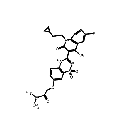 CN(C)C(=O)COc1ccc2c(c1)S(=O)(=O)N=C(c1c(O)c3cc(F)ccc3n(CCC3CC3)c1=O)N2